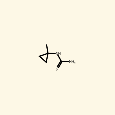 CC1(NC(N)=S)CC1